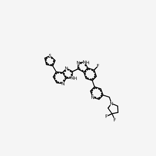 Fc1cc(-c2cncc(CN3CCC(F)(F)C3)c2)cc2c(-c3nc4c(-c5ccsc5)ccnc4[nH]3)n[nH]c12